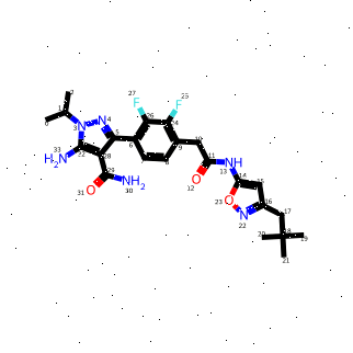 CC(C)n1nc(-c2ccc(CC(=O)Nc3cc(CC(C)(C)C)no3)c(F)c2F)c(C(N)=O)c1N